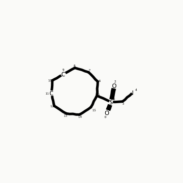 O=S(=O)(CI)C1CCCCCCCCCC1